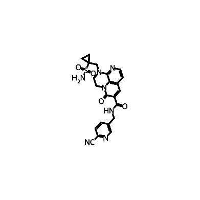 N#Cc1ccc(CNC(=O)c2cc3ccnc4c3n(c2=O)CCN4CC2(S(N)(=O)=O)CC2)cn1